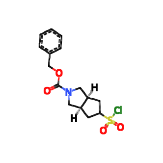 O=C(OCc1ccccc1)N1C[C@H]2CC(S(=O)(=O)Cl)C[C@H]2C1